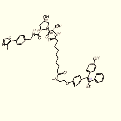 CC/C(=C(/c1ccc(O)cc1)c1ccc(OCCN(C)C(=O)CCCCCCCCC(=O)N[C@H](C(=O)N2C[C@H](O)C[C@H]2C(=O)NCc2ccc(-c3scnc3C)cc2)C(C)(C)C)cc1)c1ccccc1